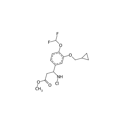 COC(=O)CC(NCl)c1ccc(OC(F)F)c(OCC2CC2)c1